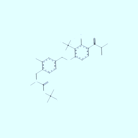 Cc1cc(COc2ccc(C(=O)C(C)C)c(O)c2C(F)(F)F)ccc1CN(C)C(=O)OC(C)(C)C